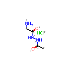 CC(=O)NNC(=O)CN.Cl